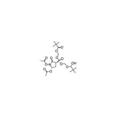 CC(=O)O[C@H]1C[C@H](P(=O)(OCOC(=O)C(C)(C)C)OCOC(O)C(C)(C)C)C(=O)N1OC(C)=O